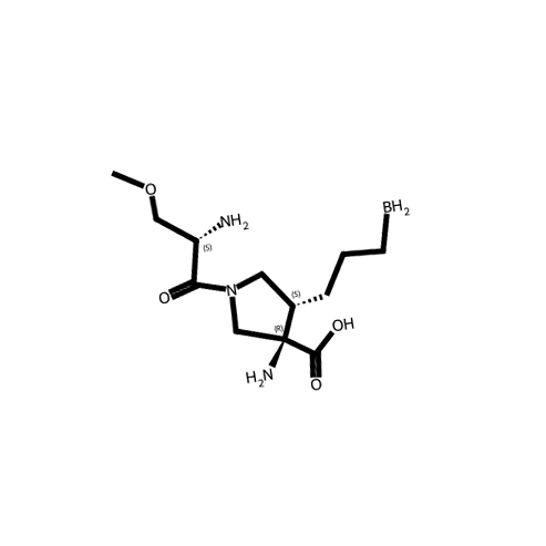 BCCC[C@H]1CN(C(=O)[C@@H](N)COC)C[C@@]1(N)C(=O)O